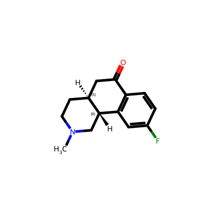 CN1CC[C@H]2CC(=O)c3ccc(F)cc3[C@@H]2C1